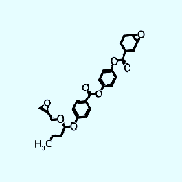 CCCC(OCC1CO1)Oc1ccc(C(=O)Oc2ccc(OC(=O)C3CCC4OC4C3)cc2)cc1